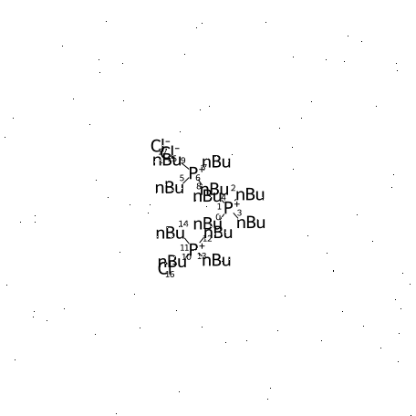 CCCC[P+](CCCC)(CCCC)CCCC.CCCC[P+](CCCC)(CCCC)CCCC.CCCC[P+](CCCC)(CCCC)CCCC.[Cl-].[Cl-].[Cl-]